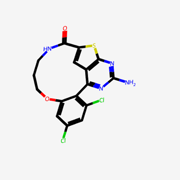 Nc1nc2c3cc(sc3n1)C(=O)NCCCOc1cc(Cl)cc(Cl)c1-2